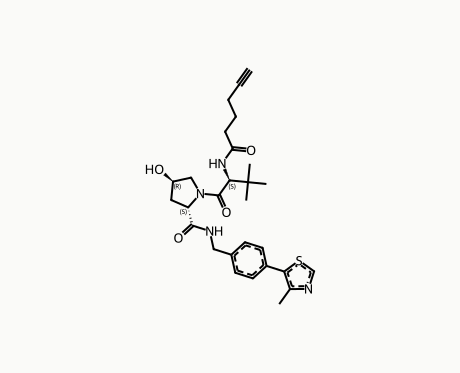 C#CCCCC(=O)N[C@H](C(=O)N1C[C@H](O)C[C@H]1C(=O)NCc1ccc(-c2scnc2C)cc1)C(C)(C)C